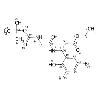 CCOC(=O)C[C@@H](NC(=O)CNC(=O)OC(C)(C)C)c1cc(Br)cc(Br)c1O